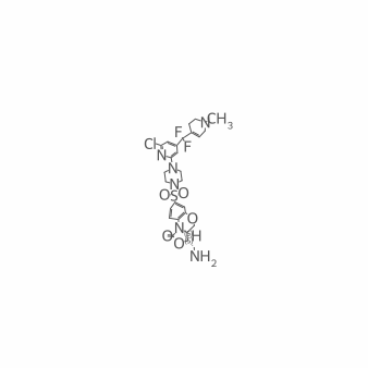 CN1CC=C(C(F)(F)c2cc(Cl)nc(N3CCN(S(=O)(=O)c4ccc5c(c4)OC[C@H]4[C@H](CN)OC(=O)N54)CC3)c2)CC1